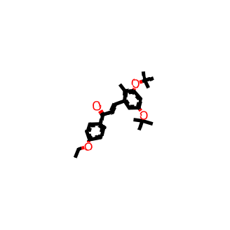 CCOc1ccc(C(=O)C=Cc2cc(OC(C)(C)C)cc(OC(C)(C)C)c2C)cc1